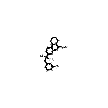 COc1nc2cc(C(C)(C#N)Cc3cccc(C#N)c3)ccc2c2c1CCCC2